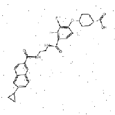 O=C(NCCNC(=O)c1ccc(O[C@H]2CC[C@@H](C(=O)O)CC2)c(F)c1F)c1ccc2cc(C3CC3)ccc2c1